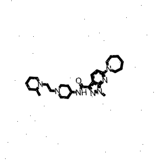 CC1CCCCN1CCN1CCC(NC(=O)c2nn(C)c3nc(N4CCCCCC4)ccc23)CC1